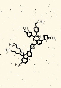 CCCCCCC1(CCCCCC)c2cc(C)ccc2-c2ccc(-c3ccc(-c4ccc(-c5ccc(C)s5)c5nc(-c6ccc(CC)cc6)c(-c6ccc(CC)cc6)nc45)s3)cc21